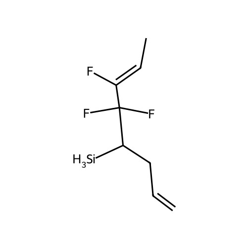 C=CCC([SiH3])C(F)(F)C(F)=CC